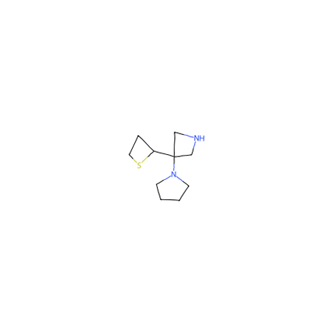 C1CCN(C2(C3CCS3)CNC2)C1